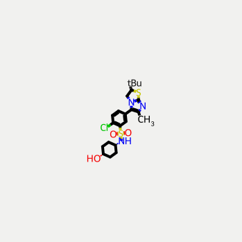 Cc1nc2n(c1-c1ccc(Cl)c(S(=O)(=O)N[C@H]3CC[C@@H](O)CC3)c1)CC(C(C)(C)C)S2